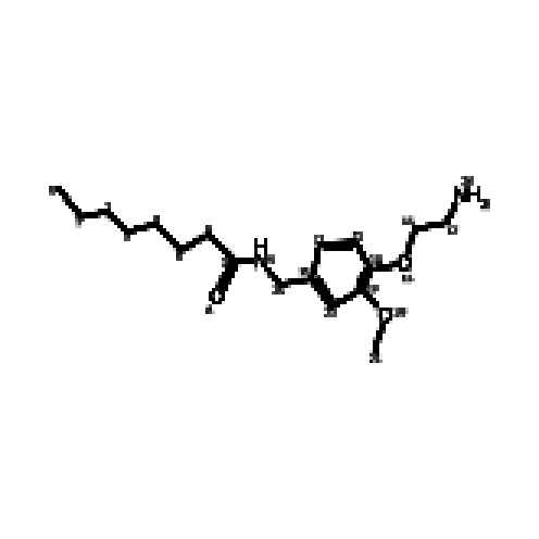 CCCCCCCC(=O)NCc1ccc(OCCN)c(OC)c1